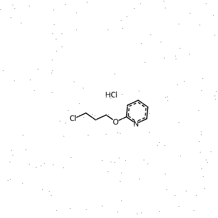 Cl.ClCCCOc1ccccn1